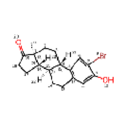 C[C@]12CC[C@@H]3c4cc(Br)c(O)cc4CC[C@H]3[C@@H]1CCC2=O